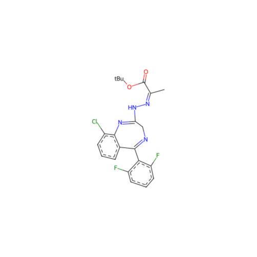 CC(=NNC1=Nc2c(Cl)cccc2C(c2c(F)cccc2F)=NC1)C(=O)OC(C)(C)C